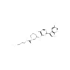 CCCCNC(=O)N1CCCC(Nc2nc(-c3c[nH]c4ncc(Cl)cc34)ncc2F)C1